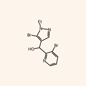 CCn1ncc(C(O)c2ncccc2Br)c1Br